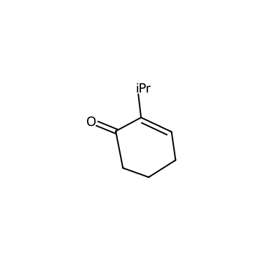 CC(C)C1=CCCCC1=O